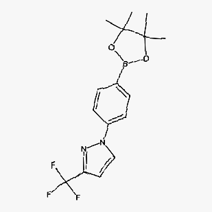 CC1(C)OB(c2ccc(-n3ccc(C(F)(F)F)n3)cc2)OC1(C)C